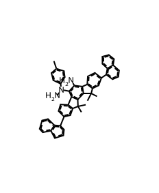 Cc1ccc(N(N)c2c(N)c3c(c4c2-c2ccc(-c5cccc6ccccc56)cc2C4(C)C)C(C)(C)c2cc(-c4cccc5ccccc45)ccc2-3)cc1